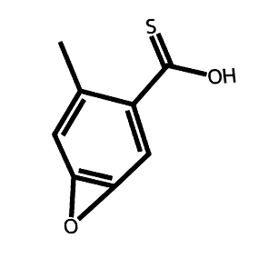 Cc1cc2c(cc1C(O)=S)O2